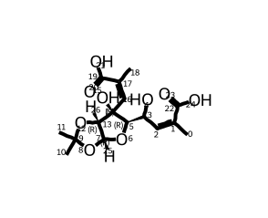 CC(=CC(O)[C@H]1O[C@@H]2OC(C)(C)O[C@@H]2[C@]1(O)C=C(C)C(=O)O)C(=O)O